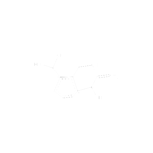 C=C[C](C)c1cccc(C(C)C)c1CC